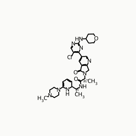 C[C@H](C(=O)N[C@H](C)C1C=CC=C(N2CCN(C)CC2)N1)N1Cc2ncc(-c3nc(NC4CCOCC4)ncc3Cl)cc2C1=O